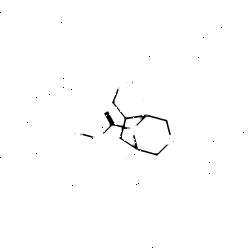 COCC1C[C@@H]2CNC[C@H]1N2C(=O)OC(C)(C)C